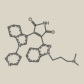 CN(C)CCCn1nc(C2=C(c3cn(-c4ccncc4)c4ccccc34)C(=O)NC2=O)c2ccccc21